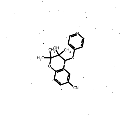 CC1(C)Oc2ccc(C#N)cc2C(Sc2ccncc2)C1(C)O